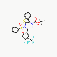 CC(C)(C)OC(=O)Nc1c(N(Cc2ccc(F)c(C(F)(F)F)c2)S(=O)(=O)c2ccccc2)sc2ccccc12